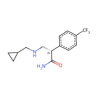 NC(=O)[C@H](CNCC1CC1)c1ccc(C(F)(F)F)cc1